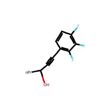 CCCC(O)C#Cc1ccc(F)c(F)c1F